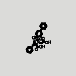 O=C(O)CN([C@@]1(C(=O)O)C[C@@H]1c1ccccc1)S(=O)(=O)C1(Cl)C=CC(c2ccccc2)C=C1